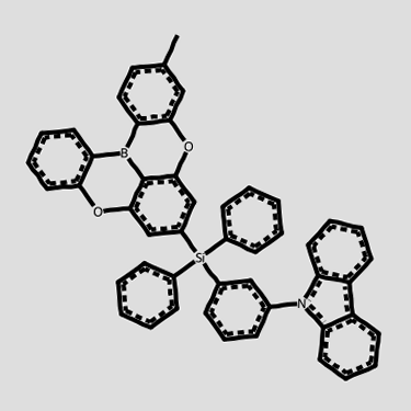 Cc1ccc2c(c1)Oc1cc([Si](c3ccccc3)(c3ccccc3)c3cccc(-n4c5ccccc5c5ccccc54)c3)cc3c1B2c1ccccc1O3